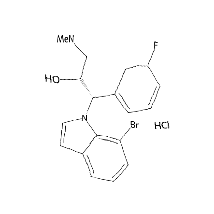 CNCC(O)[C@H](C1=CC=CC(F)C1)n1ccc2cccc(Br)c21.Cl